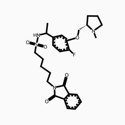 CC(NS(=O)(=O)CCCCCN1C(=O)c2ccccc2C1=O)c1ccc(F)c(OC[C@@H]2CCCN2C)c1